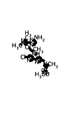 Cc1nn(C)c(OCC[C@H](C)Nc2cc(Cl)ncc2-c2ncc(CN3C[C@@H](CS(C)(=O)=O)[C@@H]3C)cc2F)c1-c1nccc(N)n1